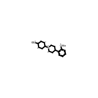 COc1ccccc1C1CCN(C2CCC(C(C)(C)C)CC2)CC1